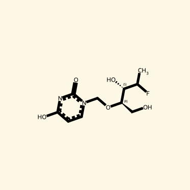 CC(F)[C@@H](O)[C@@H](CO)OCn1ccc(O)nc1=O